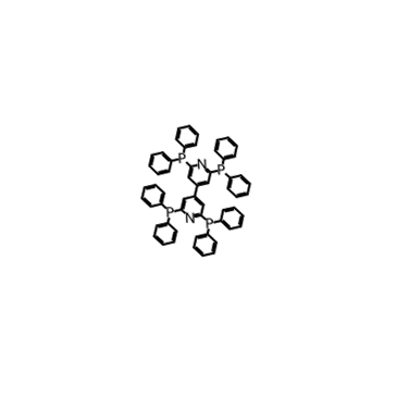 c1ccc(P(c2ccccc2)c2cc(-c3cc(P(c4ccccc4)c4ccccc4)nc(P(c4ccccc4)c4ccccc4)c3)cc(P(c3ccccc3)c3ccccc3)n2)cc1